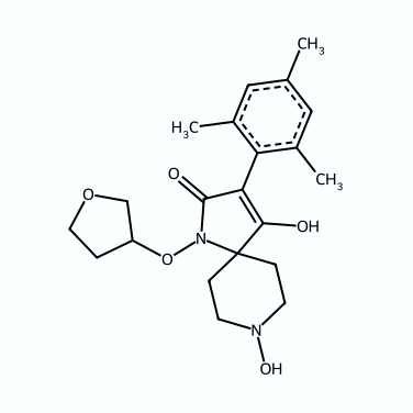 Cc1cc(C)c(C2=C(O)C3(CCN(O)CC3)N(OC3CCOC3)C2=O)c(C)c1